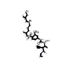 C#C/C(=C(F)\C=C/C)C(C)N(O)C(=O)Nc1ccc(S(=O)(=O)CC(C)CCCN(C)CC(C)CC(C)C)c(OC)c1